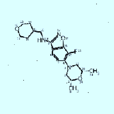 C[C@@H]1CN(c2[c]cc3c(NCC4CCOCC4)noc3c2F)C[C@H](C)O1